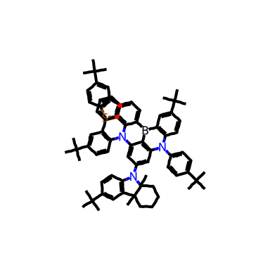 CC(C)(C)c1ccc(N2c3ccc(C(C)(C)C)cc3B3c4ccc5c(sc6ccc(C(C)(C)C)cc65)c4N(c4ccc(C(C)(C)C)cc4-c4ccccc4)c4cc(N5c6ccc(C(C)(C)C)cc6C6(C)CCCCC56C)cc2c43)cc1